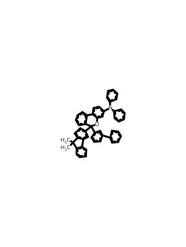 CC1(C)c2ccccc2-c2cc(C3(c4cccc(-c5ccccc5)c4)Oc4cc(N(c5ccccc5)c5ccccc5)ccc4-c4ccccc43)ccc21